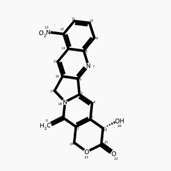 C=C1C2=C(C=C3c4nc5cccc([N+](=O)[O-])c5cc4CN13)[C@H](O)C(=O)OC2